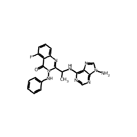 CC(Nc1ncnc2c1ncn2N)c1nc2cccc(F)c2c(=O)n1Nc1ccccc1